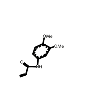 C=CC(=O)Nc1ccc(OC)c(OC)c1